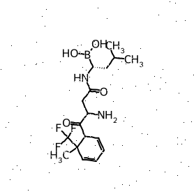 CC(C)C[C@H](NC(=O)CC(N)C(=O)C1C=CC=CC1(C)C(F)(F)F)B(O)O